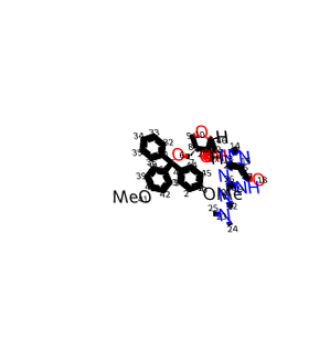 COc1ccc(C(OC[C@@]23CO[C@@H]([C@H](n4cnc5c(=O)[nH]c(/N=C/N(C)C)nc54)O2)[C@@H]3O)(c2ccccc2)c2ccc(OC)cc2)cc1